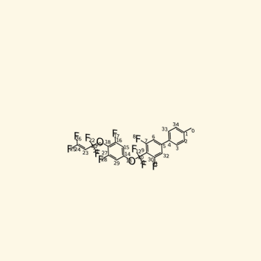 Cc1ccc(-c2cc(F)c(C(F)(F)Oc3cc(F)c(OC(F)(F)C=C(F)F)c(F)c3)c(F)c2)cc1